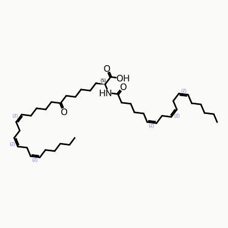 CCCCC/C=C\C/C=C\C/C=C\CCCCC(=O)CCCCC[C@H](NC(=O)CCCC/C=C\C/C=C\C/C=C\CCCCC)C(=O)O